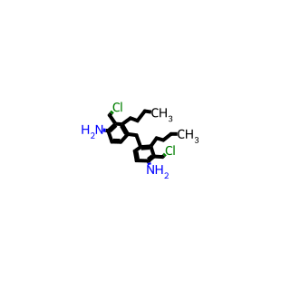 CCCCc1c(Cc2ccc(N)c(CCl)c2CCCC)ccc(N)c1CCl